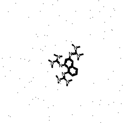 CN(C)C(=Nc1cc(N=C(N(C)C)N(C)C)c2c(N=C(N(C)C)N(C)C)cccc2c1)N(C)C